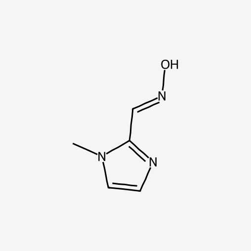 Cn1ccnc1C=NO